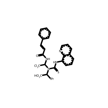 CC(C)C(C(=O)O)N(C(=S)Nc1cccc2cccnc12)C(NC(=O)/C=C/c1ccccc1)C(Cl)(Cl)Cl